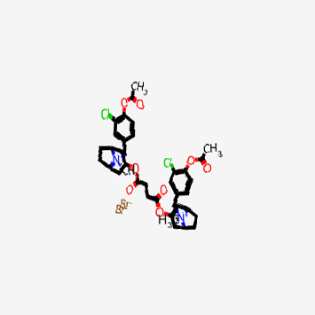 CC(=O)Oc1ccc(C[N+]2(C)C3CCC2CC(OC(=O)CCC(=O)OC2CC4CCC(C2)[N+]4(C)Cc2ccc(OC(C)=O)c(Cl)c2)C3)cc1Cl.[Br-].[Br-]